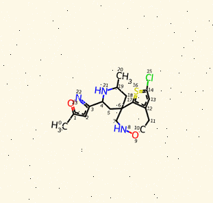 Cc1cc(C2CC3(CNOCCc4cc(Cl)sc43)CC(C)N2)no1